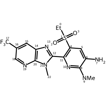 CCS(=O)(=O)c1cc(N)c(NC)nc1-c1nc2cc(C(F)(F)F)cnc2n1C